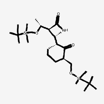 C[C@@H](O[Si](C)(C)C(C)(C)C)[C@H]1C(=O)N[C@@H]1[C@H]1CCC[C@H](CO[Si](C)(C)C(C)(C)C)C1=O